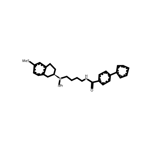 CCCN(CCCCNC(=O)c1ccc(-c2ccccc2)cc1)[C@@H]1CCc2cc(SC)ccc2C1